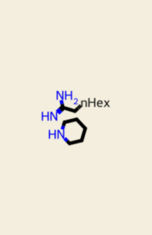 C1CCNCC1.CCCCCCCC(=N)N